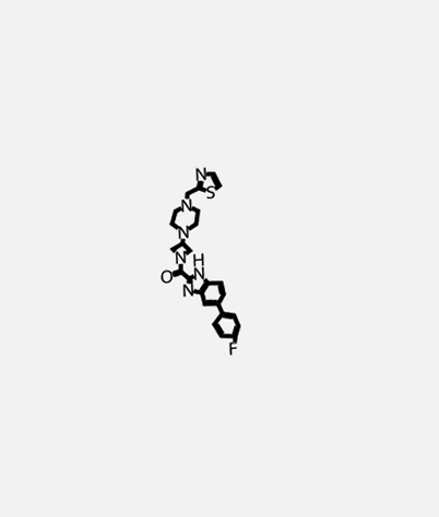 O=C(c1nc2cc(-c3ccc(F)cc3)ccc2[nH]1)N1CC(N2CCN(Cc3nccs3)CC2)C1